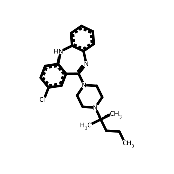 CCCC(C)(C)N1CCN(C2=Nc3ccccc3Nc3ccc(Cl)cc32)CC1